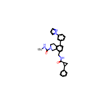 CC(C)(C)NC(=O)N1CCc2c(-c3cccc(-n4cccn4)c3)ccc(CNC(=O)C3CC3c3ccccc3)c2C1